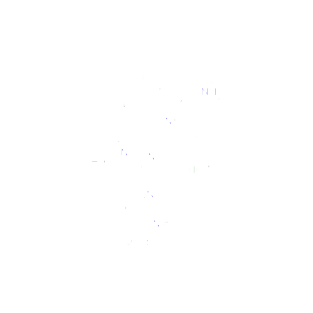 CCn1c(-c2nc3c(N4CCC[C@@H](N)C4)c(C=O)ccc3n2C)cc2cccnc21.Cl